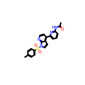 CC(=O)Nc1cccc(-c2ccnc3c2ccn3S(=O)(=O)c2ccc(C)cc2)n1